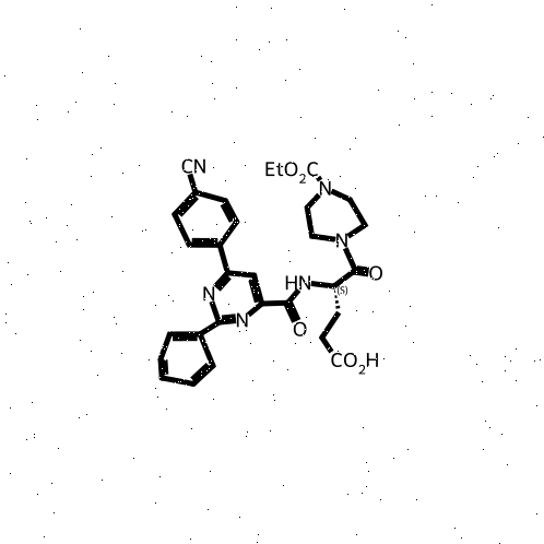 CCOC(=O)N1CCN(C(=O)[C@H](CCC(=O)O)NC(=O)c2cc(-c3ccc(C#N)cc3)nc(-c3ccccc3)n2)CC1